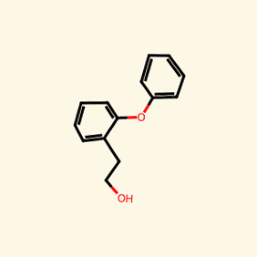 OCCc1ccccc1Oc1ccccc1